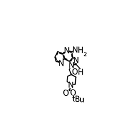 Cc1nc2c(N)nc3cccnc3c2n1CC1(O)CCN(C(=O)OC(C)(C)C)CC1